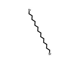 BrCCCCCCCCCCCCCCBr